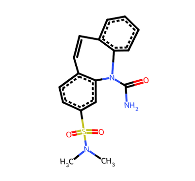 CN(C)S(=O)(=O)c1ccc2c(c1)N(C(N)=O)c1ccccc1C=C2